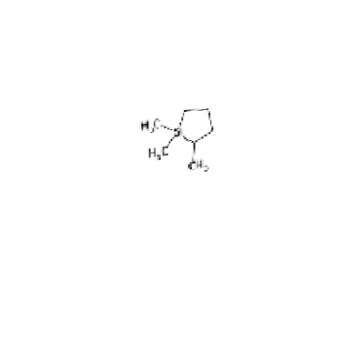 CC1CCC[Si]1(C)C